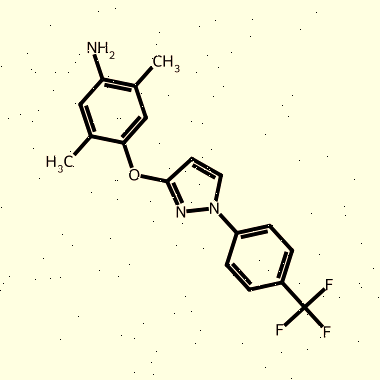 Cc1cc(Oc2ccn(-c3ccc(C(F)(F)F)cc3)n2)c(C)cc1N